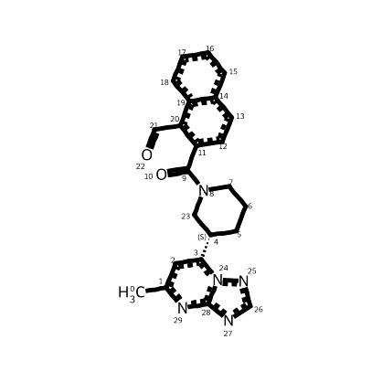 Cc1cc([C@H]2CCCN(C(=O)c3ccc4ccccc4c3C=O)C2)n2ncnc2n1